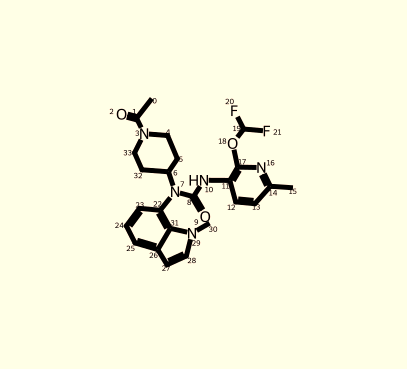 CC(=O)N1CCC(N(C(=O)Nc2ccc(C)nc2OC(F)F)c2cccc3ccn(C)c23)CC1